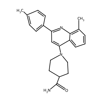 Cc1ccc(-c2cc(N3CCC(C(N)=O)CC3)c3cccc(C)c3n2)cc1